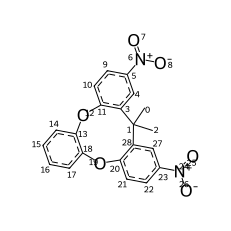 CC1(C)c2cc([N+](=O)[O-])ccc2Oc2ccccc2Oc2ccc([N+](=O)[O-])cc21